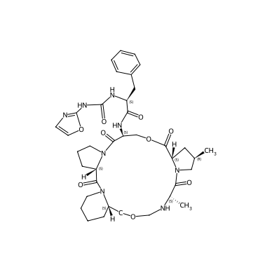 C[C@@H]1C[C@H]2C(=O)OC[C@H](NC(=O)[C@H](Cc3ccccc3)NC(=O)Nc3ncco3)C(=O)N3CCC[C@H]3C(=O)N3CCCC[C@H]3COCN[C@@H](C)C(=O)N2C1